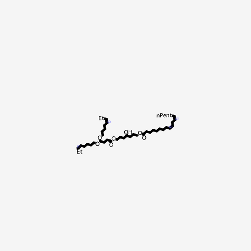 CC/C=C\CCCCOC(CCC(=O)OCCCC(O)CCCOC(=O)CCCCCCC/C=C\C/C=C\CCCCC)OCCCC/C=C\CC